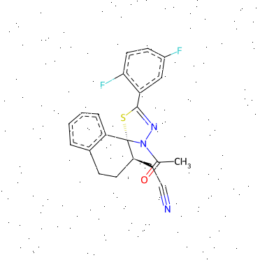 CC(=O)N1N=C(c2cc(F)ccc2F)S[C@]12c1ccccc1CC[C@@H]2CC#N